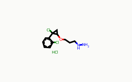 Cl.NNCCCOC1CC1(Cl)c1ccccc1Cl